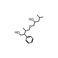 CC(C)CC(O)COCC(C)C(CO)c1ccccc1